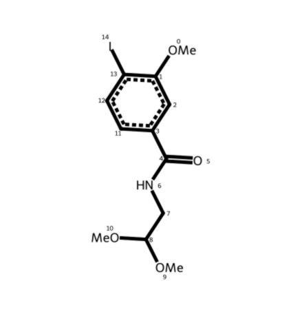 COc1cc(C(=O)NCC(OC)OC)ccc1I